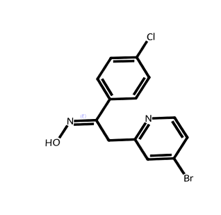 O/N=C(\Cc1cc(Br)ccn1)c1ccc(Cl)cc1